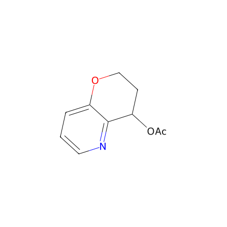 CC(=O)OC1CCOc2cccnc21